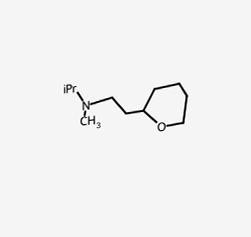 CC(C)N(C)CCC1CCCCO1